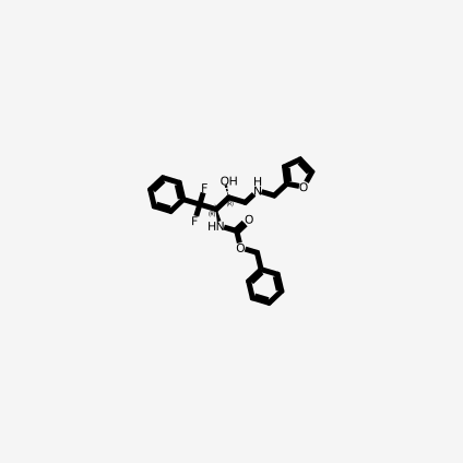 O=C(N[C@H]([C@H](O)CNCc1ccco1)C(F)(F)c1ccccc1)OCc1ccccc1